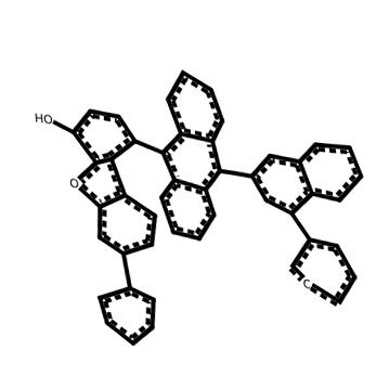 Oc1ccc(-c2c3ccccc3c(-c3cc(-c4ccccc4)c4ccccc4c3)c3ccccc23)c2c1oc1cc(-c3ccccc3)ccc12